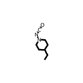 CCC1CCN(N=C=O)CC1